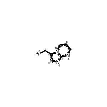 CC(C)Cc1nnc2ncccn12